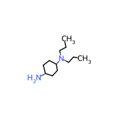 CCCN(CCC)[C@H]1CC[C@@H](N)CC1